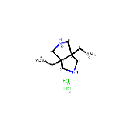 COCC12CNCC1(COC)CNC2.Cl.Cl